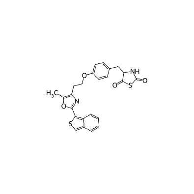 Cc1oc(-c2scc3ccccc23)nc1CCOc1ccc(CC2NC(=O)SC2=O)cc1